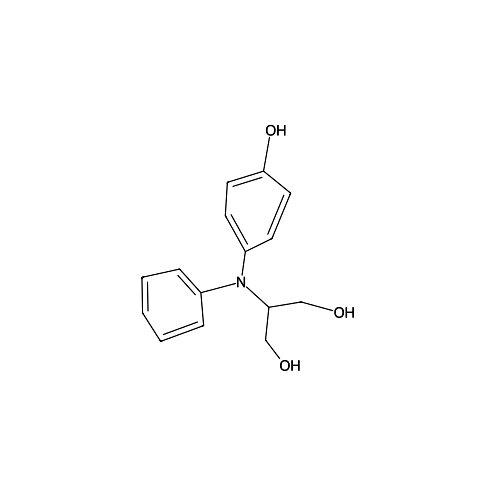 OCC(CO)N(c1ccccc1)c1ccc(O)cc1